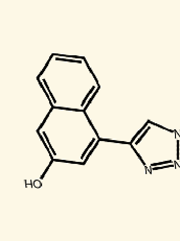 Oc1cc(-c2c[nH]nn2)c2ccccc2c1